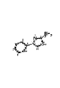 Bc1nc(-c2ccccc2)cs1